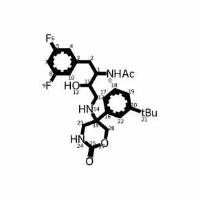 CC(=O)NC(Cc1cc(F)cc(F)c1)C(O)CNC1(c2cccc(C(C)(C)C)c2)CNC(=O)OC1